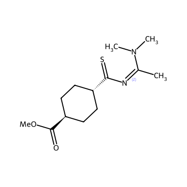 COC(=O)[C@H]1CC[C@H](C(=S)/N=C(/C)N(C)C)CC1